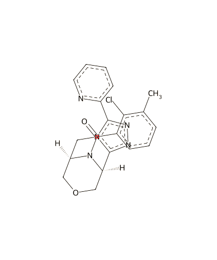 Cc1cccc(C(=O)N2[C@H]3COC[C@@H]2c2nnc(-c4ccccn4)n2C3)c1Cl